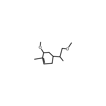 COCC(C)C1CC=C(C)C(OC)C1